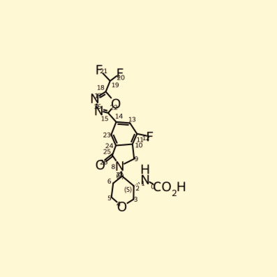 O=C(O)N[C@@H]1COCC[C@H]1N1Cc2c(F)cc(-c3nnc(C(F)F)o3)cc2C1=O